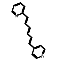 C(=C\C=C\c1ccccn1)/C=C/c1ccncc1